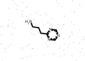 NCCCc1ncncn1